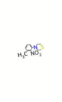 Cc1cccc(N2CCSCC2)c1[N+](=O)[O-]